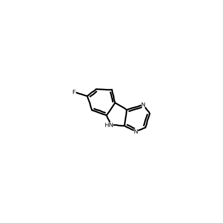 Fc1ccc2c(c1)[nH]c1nccnc12